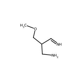 COCC(C=N)CN